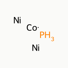 P.[Co].[Ni].[Ni]